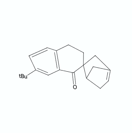 CC(C)(C)c1ccc2c(c1)C(=O)C1(CC2)CC2=CCC1C2